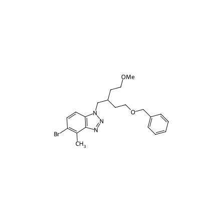 COCCC(CCOCc1ccccc1)Cn1nnc2c(C)c(Br)ccc21